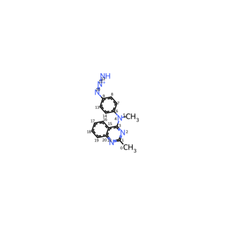 Cc1nc(N(C)c2ccc(N=[N+]=N)cc2)c2ccccc2n1